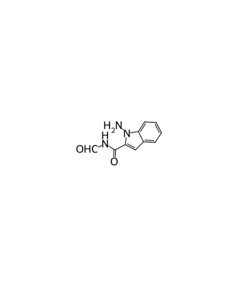 Nn1c(C(=O)NC=O)cc2ccccc21